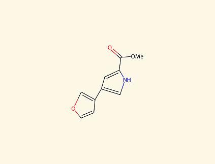 COC(=O)c1cc(-c2ccoc2)c[nH]1